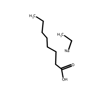 CCCCCCCC(=O)O.C[CH2][Na]